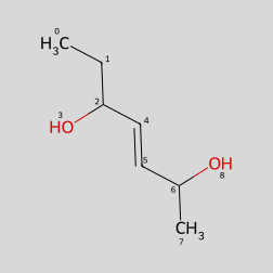 CCC(O)C=CC(C)O